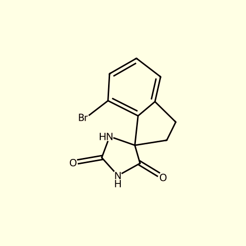 O=C1NC(=O)C2(CCc3cccc(Br)c32)N1